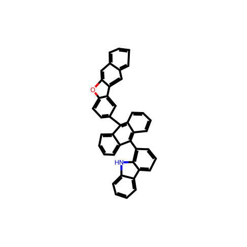 c1ccc2cc3c(cc2c1)oc1ccc(-c2c4ccccc4c(-c4cccc5c4[nH]c4ccccc45)c4ccccc24)cc13